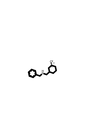 FC(F)(F)[C@H]1CCCC(CNCc2ccccc2)C1